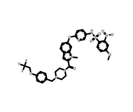 COc1ccc(S(=O)(=O)Nc2ccc(Oc3ccc4cc(C(=O)N5CCN(Cc6ccc(OCC(F)(F)F)cc6)CC5)n(C)c4c3)nc2)c([N+](=O)[O-])c1